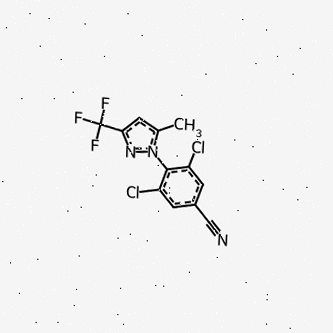 Cc1cc(C(F)(F)F)nn1-c1c(Cl)cc(C#N)cc1Cl